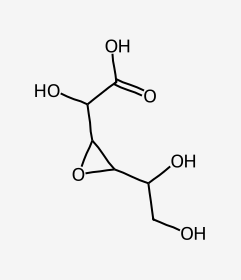 O=C(O)C(O)C1OC1C(O)CO